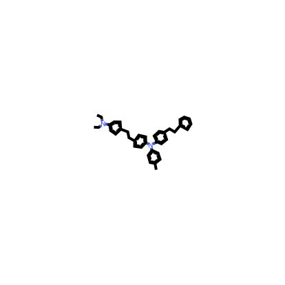 CCN(CC)c1ccc(CCc2ccc(N(c3ccc(C)cc3)c3ccc(CCc4ccccc4)cc3)cc2)cc1